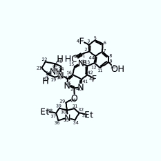 C#Cc1c(F)ccc2cc(O)cc(-c3ncc4c(N5C[C@H]6CC[C@@H](C5)N6)nc(OCC56CC(CC)CN5CC(CC)C6)nc4c3F)c12